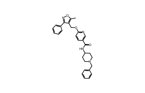 Cc1onc(-c2ccccc2)c1COc1ccc(C(=O)NC2CCN(Cc3ccccc3)CC2)cn1